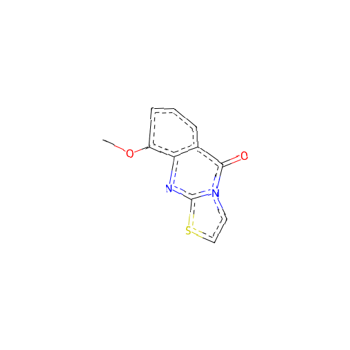 COc1cccc2c(=O)n3ccsc3nc12